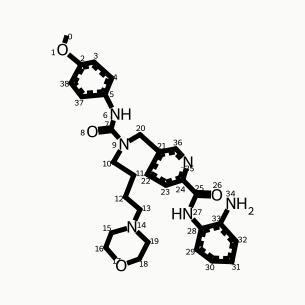 COc1ccc(NC(=O)N(CCCCN2CCOCC2)Cc2ccc(C(=O)Nc3ccccc3N)nc2)cc1